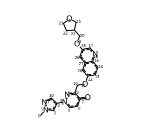 Cn1cc(-n2ccc(=O)c(COc3ccc4ncc(OCC5CCOC5)cc4c3)n2)cn1